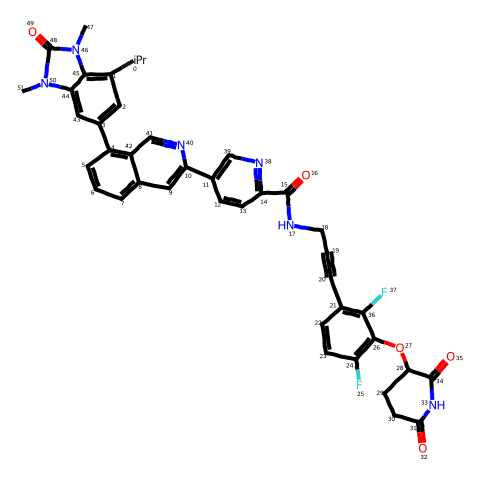 CC(C)c1cc(-c2cccc3cc(-c4ccc(C(=O)NCC#Cc5ccc(F)c(OC6CCC(=O)NC6=O)c5F)nc4)ncc23)cc2c1n(C)c(=O)n2C